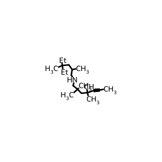 CC#CC(C)(C)CC(C)(C)CNCC(C)CC(C)(CC)CC